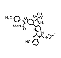 CNC(=O)c1c(-c2ccc(C)cc2)oc2cc(N(C)S(C)(=O)=O)c(-c3ccc4nc(CN5CC(F)C5)n5c6cccc(C#N)c6cc5c4n3)cc12